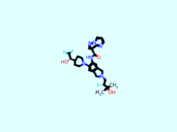 CC(C)(O)[C@H](F)CN1Cc2cc(NC(=O)c3cnn4cccnc34)c(N3CCC([C@H](O)C(F)F)CC3)cc2C1